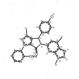 COc1ncccc1-n1nc(C)c2c1C(=O)N(c1cc(C)c3nnn(C)c3n1)C2c1ccc(Cl)cc1